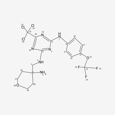 NC1(CNc2nc(Nc3ccc(OC(F)(F)F)cc3)nc(C(Cl)(Cl)Cl)n2)CCOCC1